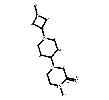 CN1CC(N2CCC(N3CCN(C)C(=O)C3)CC2)C1